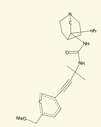 CCCC1(NC(=O)NC(C)(C)C#Cc2ccc(COC)cc2)CN2CCC1CC2